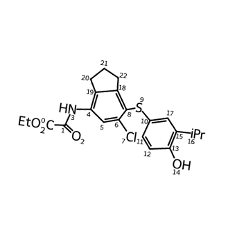 CCOC(=O)C(=O)Nc1cc(Cl)c(Sc2ccc(O)c(C(C)C)c2)c2c1CCC2